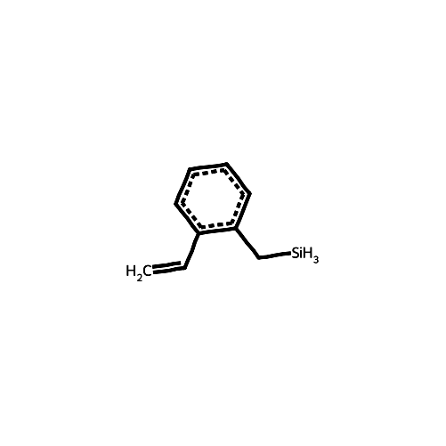 C=Cc1ccccc1C[SiH3]